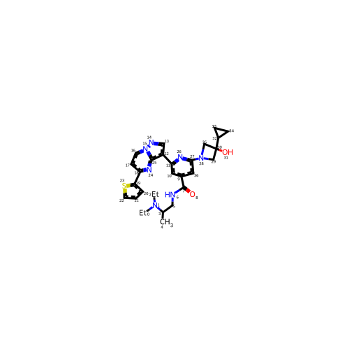 CCN(CC)C(C)CNC(=O)c1cc(-c2cnn3ccc(-c4cccs4)nc23)nc(N2CC(O)(C3CC3)C2)c1